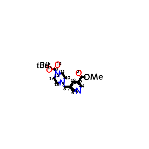 COC(=O)c1cncc(CN2CCN(C(=O)OC(C)(C)C)CC2)c1